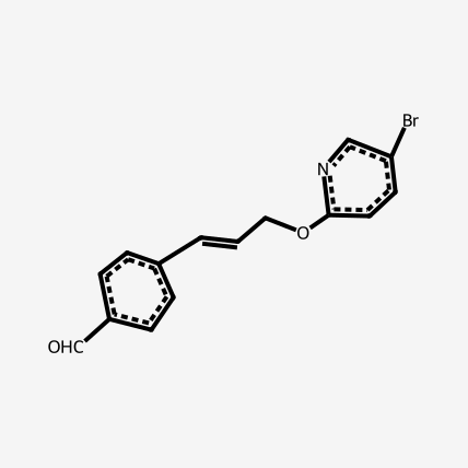 O=Cc1ccc(/C=C/COc2ccc(Br)cn2)cc1